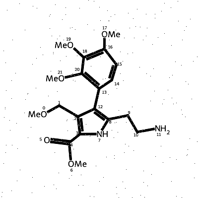 COCc1c(C(=O)OC)[nH]c(CCN)c1-c1ccc(OC)c(OC)c1OC